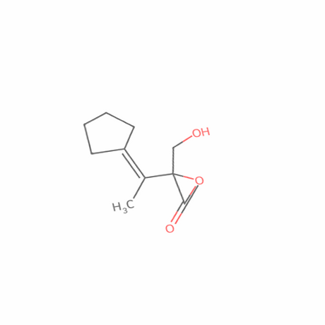 CC(=C1CCCC1)C1(CO)OC1=O